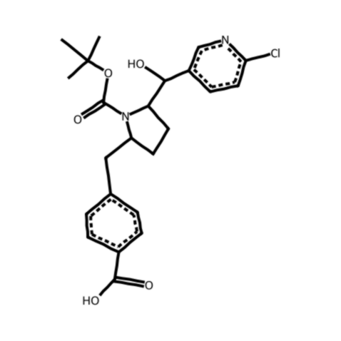 CC(C)(C)OC(=O)N1C(Cc2ccc(C(=O)O)cc2)CCC1C(O)c1ccc(Cl)nc1